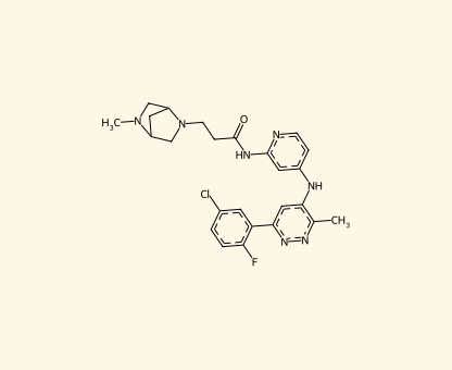 Cc1nnc(-c2cc(Cl)ccc2F)cc1Nc1ccnc(NC(=O)CCN2CC3CC2CN3C)c1